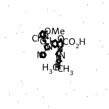 COc1ccc(Cl)c(OC[C@H]2C[C@@H](c3cccnc3)CN2c2cc3c(cc2Cl)c(=O)c(C(=O)O)cn3-c2ccc(N3CC(N(C)C)C3)nc2)n1